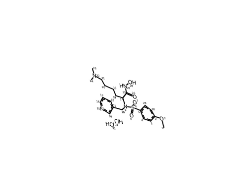 COc1ccc(S(=O)(=O)N(Cc2cccnc2)C(CCCCN(C)C)C(=O)NO)cc1.Cl.Cl